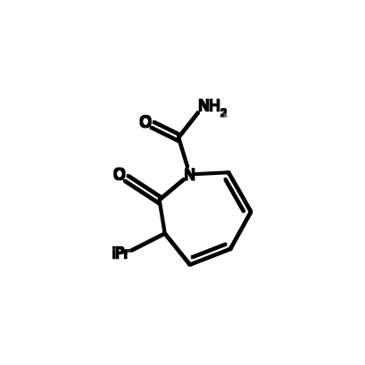 CC(C)C1C=CC=CN(C(N)=O)C1=O